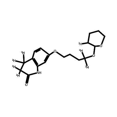 [2H]C1CCCOC1OC([2H])([2H])CCCOc1ccc2c(c1)NC(=O)C([2H])([2H])C2([2H])[2H]